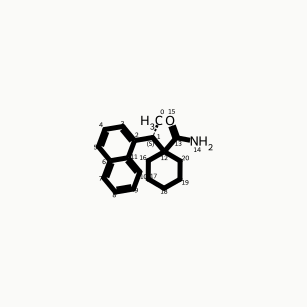 C[C@@H](c1cccc2ccccc12)C1(C(N)=O)CCCCC1